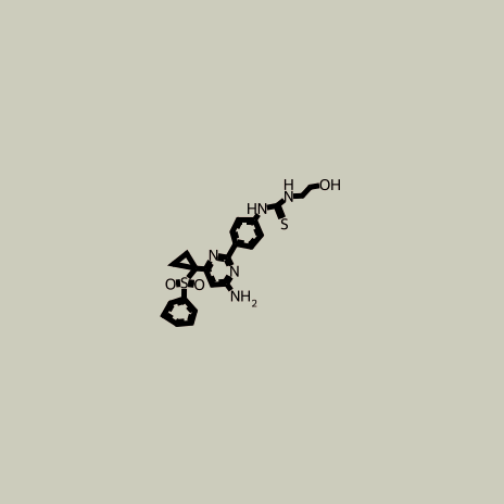 Nc1cc(C2(S(=O)(=O)c3ccccc3)CC2)nc(-c2ccc(NC(=S)NCCO)cc2)n1